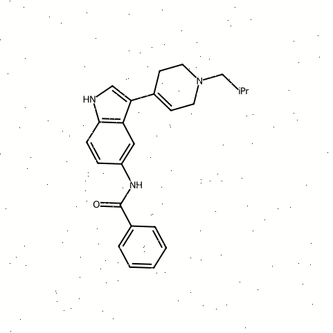 CC(C)CN1CC=C(c2c[nH]c3ccc(NC(=O)c4ccccc4)cc23)CC1